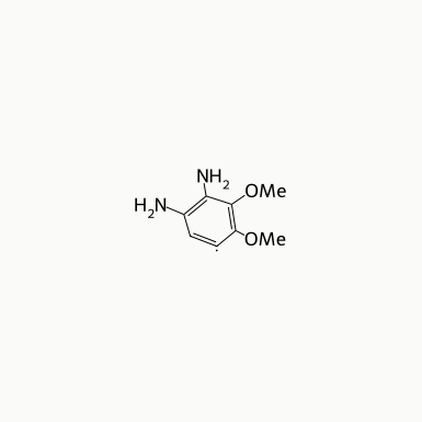 COc1[c]cc(N)c(N)c1OC